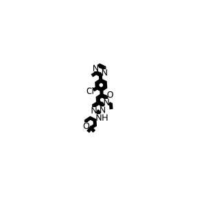 CCn1c(=O)c(-c2ccc(-c3nccnc3C)cc2Cl)cc2cnc(N[C@H]3CCOC(C)(C)C3)nc21